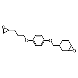 c1cc(OCC2CCC3OC3C2)ccc1OCCCC1CO1